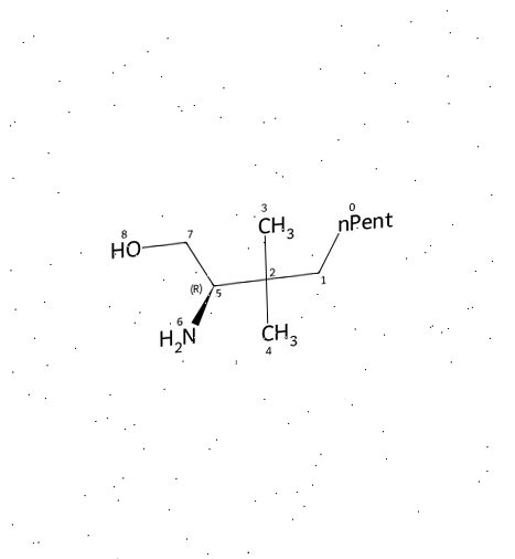 CCCCCCC(C)(C)[C@@H](N)CO